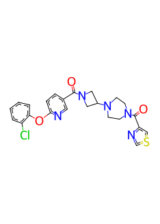 O=C(c1ccc(Oc2ccccc2Cl)nc1)N1CC(N2CCN(C(=O)c3cscn3)CC2)C1